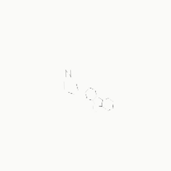 CC/C=C\C(=C/CN(C)C)c1ccc2c(c1)oc1ccccc12